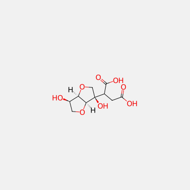 O=C(O)CC(C(=O)O)[C@@]1(O)CO[C@@H]2[C@H](O)CO[C@@H]21